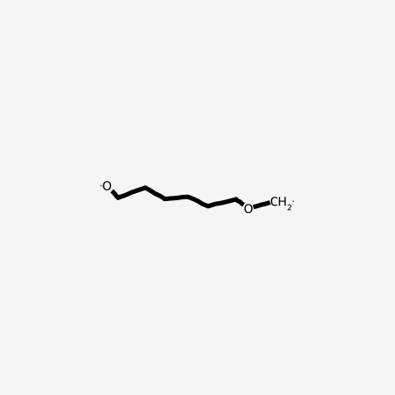 [CH2]OCCCCCC[O]